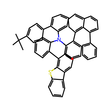 CC(C)(C)c1ccc(-c2ccccc2N(c2ccccc2C2=c3c(-c4ccccc4)cccc3=CCC2)c2ccccc2-c2cccc3c2sc2ccccc23)cc1